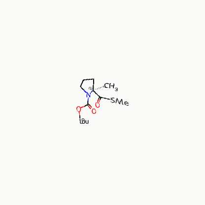 CSC(=O)[C@]1(C)CCCN1C(=O)OC(C)(C)C